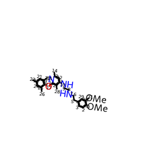 COc1ccc(CCNCCNc2cc(C)nc(Oc3c(C)cc(C)cc3C)c2C)cc1OC